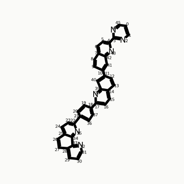 c1cnc(-c2ccc3ccc(-c4ccc5ccc(-c6ccc(-c7ccc8ccc9cccnc9c8n7)cc6)nc5c4)cc3n2)nc1